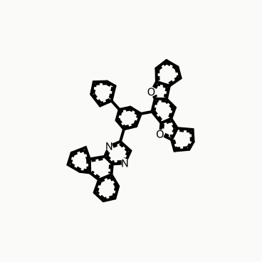 c1ccc(-c2cc(-c3cnc4c5ccccc5c5ccccc5c4n3)cc(-c3c4oc5ccccc5c4cc4c3oc3ccccc34)c2)cc1